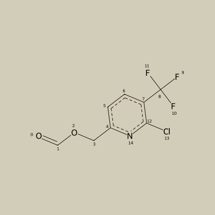 O=COCc1ccc(C(F)(F)F)c(Cl)n1